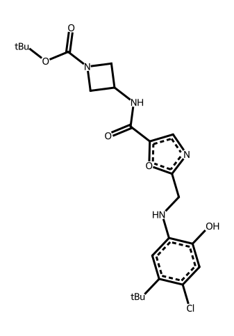 CC(C)(C)OC(=O)N1CC(NC(=O)c2cnc(CNc3cc(C(C)(C)C)c(Cl)cc3O)o2)C1